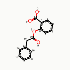 [O]C(=O)c1ccccc1OC(=O)Cc1ccccc1